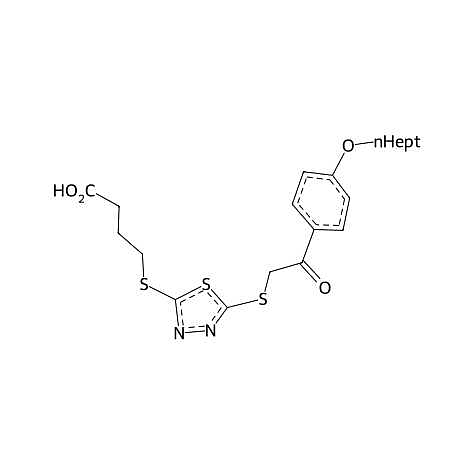 CCCCCCCOc1ccc(C(=O)CSc2nnc(SCCCC(=O)O)s2)cc1